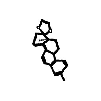 Cc1ccc2c(c1)C=CC1C2CC[C@@]2(C)C1CCC21OCCO1